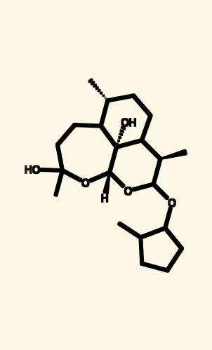 CC1CCCC1OC1O[C@@H]2OC(C)(O)CCC3[C@H](C)CCC([C@H]1C)[C@]32O